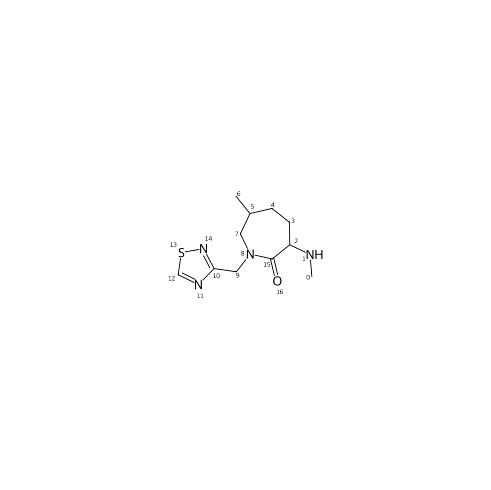 CNC1CCC(C)CN(Cc2ncsn2)C1=O